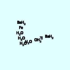 O.O.O.O.O.[BaH2].[BaH2].[Fe].[Ti]